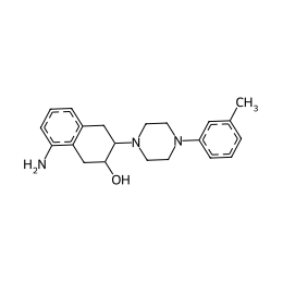 Cc1cccc(N2CCN(C3Cc4cccc(N)c4CC3O)CC2)c1